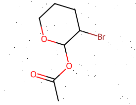 CC(=O)OC1OCCCC1Br